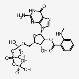 CNc1ccccc1C(=O)O[C@@H]1[C@H](O)[C@@H](COP(=O)(O)OP(=O)(O)OP(=O)(O)O)O[C@H]1n1cnc2c(=O)[nH]c(N)nc21